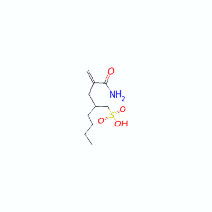 C=C(CC(CCCC)CS(=O)(=O)O)C(N)=O